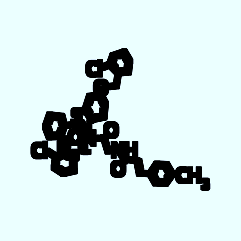 Cc1ccc(/C=C/C(=O)NCC(=O)N(C)N2c3ccc(OCc4ccccc4Cl)cc3SC2(OCc2ccccc2Cl)c2ccccc2)cc1